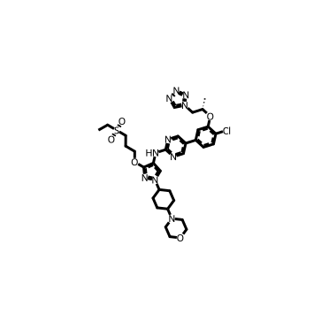 CCS(=O)(=O)CCCOc1nn(C2CCC(N3CCOCC3)CC2)cc1Nc1ncc(-c2ccc(Cl)c(O[C@@H](C)Cn3cnnn3)c2)cn1